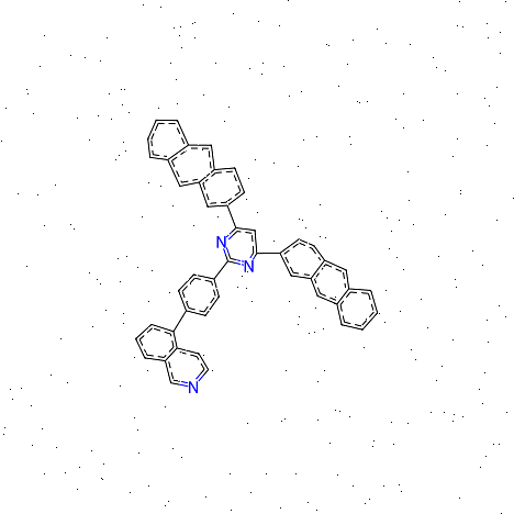 c1ccc2cc3cc(-c4cc(-c5ccc6cc7ccccc7cc6c5)nc(-c5ccc(-c6cccc7cnccc67)cc5)n4)ccc3cc2c1